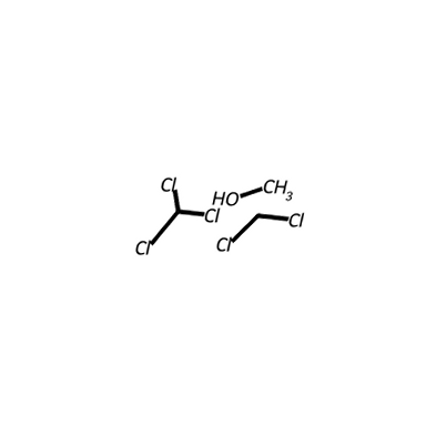 CO.ClC(Cl)Cl.ClCCl